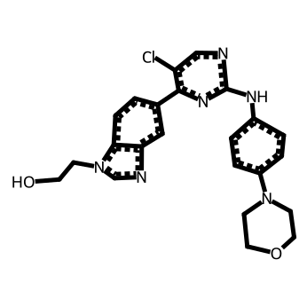 OCCn1cnc2cc(-c3nc(Nc4ccc(N5CCOCC5)cc4)ncc3Cl)ccc21